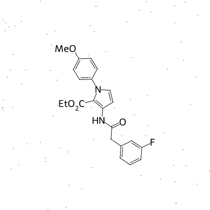 CCOC(=O)c1c(NC(=O)Cc2cccc(F)c2)ccn1-c1ccc(OC)cc1